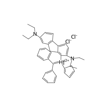 CCN(CC)c1ccc2c(c1)Cc1c-2ccc(N(CC)CC)[c]1[Hf+2]([C]1=CC=CC1)=[C](c1ccccc1)c1ccccc1.[Cl-].[Cl-]